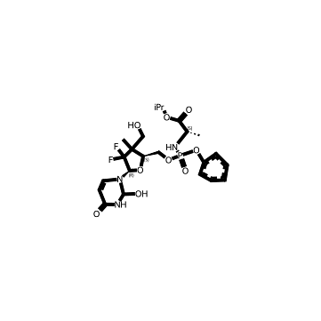 CC(C)OC(=O)[C@H](C)NP(=O)(OC[C@H]1O[C@@H](N2C=CC(=O)NC2O)C(F)(F)C1(C)CO)Oc1ccccc1